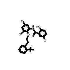 O=C(Nc1cc(Cl)cc(Cl)c1OCCc1ccccc1C(F)(F)F)c1cc(Cl)ccc1O